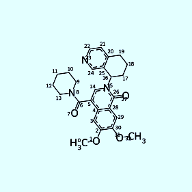 COc1cc2c(C(=O)N3CCCCC3)cn(C3CCCc4ccncc43)c(=O)c2cc1OC